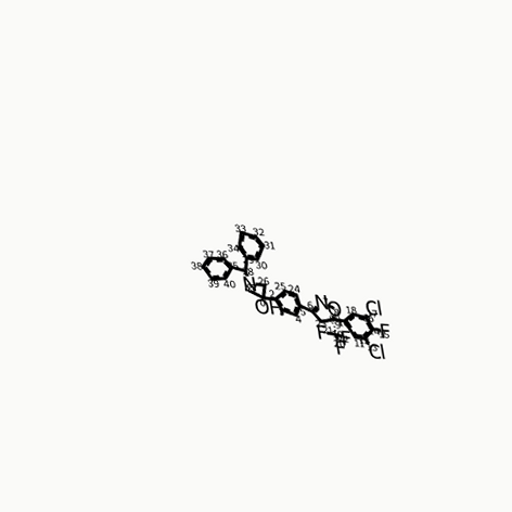 OC1(c2ccc(C3=NO[C@](c4cc(Cl)c(F)c(Cl)c4)(C(F)(F)F)C3)cc2)CN(C(c2ccccc2)c2ccccc2)C1